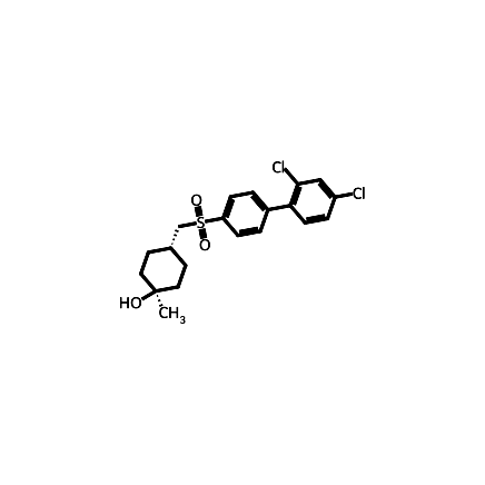 C[C@]1(O)CC[C@H](CS(=O)(=O)c2ccc(-c3ccc(Cl)cc3Cl)cc2)CC1